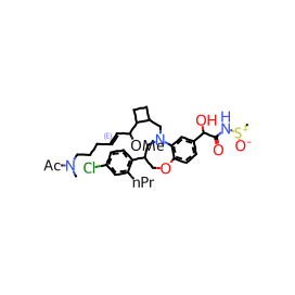 CCCc1cc(Cl)ccc1C1COc2ccc(C(O)C(=O)N[S+](C)[O-])cc2N(CC2CCC2C(/C=C/CCCN(C)C(C)=O)OC)C1